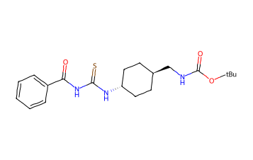 CC(C)(C)OC(=O)NC[C@H]1CC[C@H](NC(=S)NC(=O)c2ccccc2)CC1